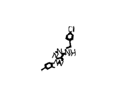 Cc1ccc(-n2ncc3c(NCCc4ccc(Cl)cc4)ncnc32)c(C)c1